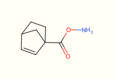 NOC(=O)C12C=CC(CC1)C2